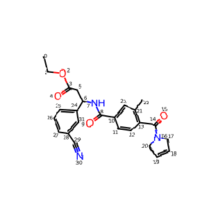 CCOC(=O)CC(NC(=O)c1ccc(C(=O)N2CC=CC2)c(C)c1)c1cccc(C#N)c1